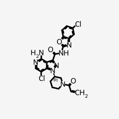 C=CC(=O)N1CCC[C@@H](n2nc(C(=O)Nc3nc4cc(Cl)ccc4o3)c3c(N)ncc(Cl)c32)C1